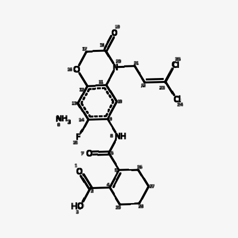 N.O=C(O)C1=C(C(=O)Nc2cc3c(cc2F)OCC(=O)N3CC=C(Cl)Cl)CCCC1